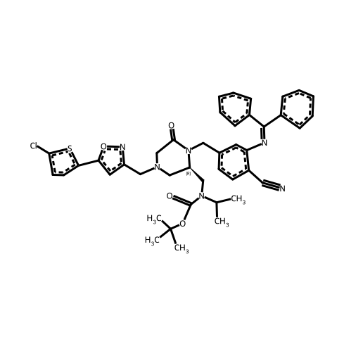 CC(C)N(C[C@H]1CN(Cc2cc(-c3ccc(Cl)s3)on2)CC(=O)N1Cc1ccc(C#N)c(N=C(c2ccccc2)c2ccccc2)c1)C(=O)OC(C)(C)C